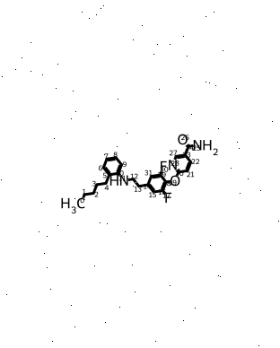 CCCCCc1ccccc1NCCc1cc(F)c(Oc2ccc(C(N)=O)cn2)c(F)c1